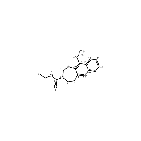 CCOC(=O)N1CCc2nc3ccccc3c(CO)c2CC1